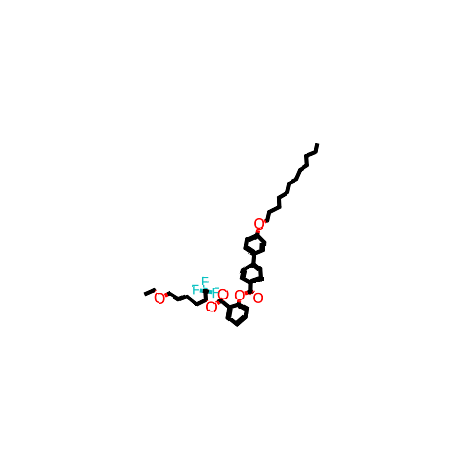 CCCCCCCCCCCCOc1ccc(-c2ccc(C(=O)Oc3ccccc3C(=O)OC(CCCCOCC)C(F)(F)F)cc2)cc1